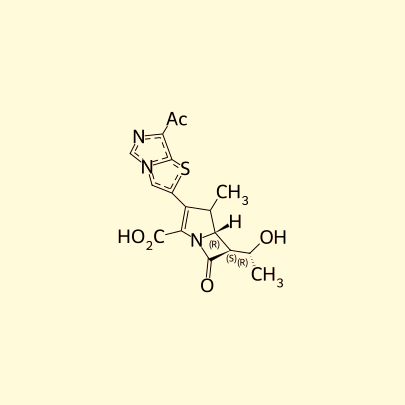 CC(=O)c1ncn2cc(C3=C(C(=O)O)N4C(=O)[C@H]([C@@H](C)O)[C@H]4C3C)sc12